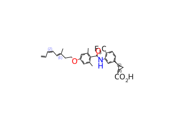 C=C/C=C\C=C(/C)CCOc1cc(C)c(C(=O)Nc2cc([C@H]3C[C@H]3C(=O)O)ccc2C(F)(F)F)c(C)c1